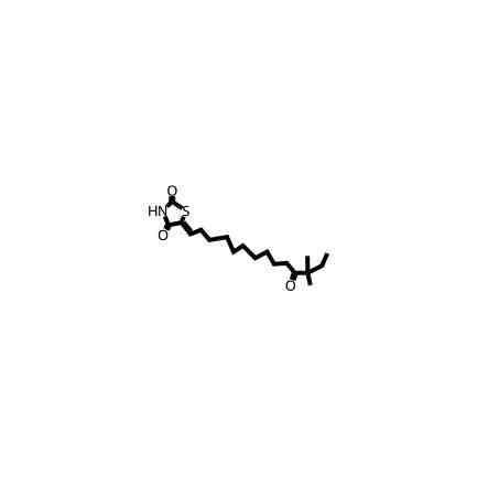 CCC(C)(C)C(=O)CCCCCCCCC/C=C1\SC(=O)NC1=O